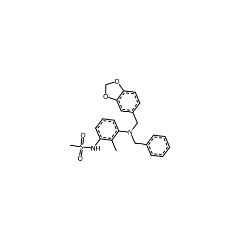 Cc1c(NS(C)(=O)=O)cccc1N(Cc1ccccc1)Cc1ccc2c(c1)OCO2